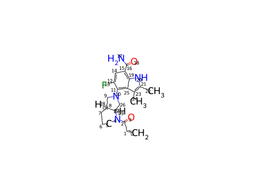 C=CC(=O)N1CCC[C@H]2CN(c3c(F)cc(C(N)=O)c4[nH]c(C)c(C)c34)C[C@H]21